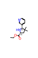 CCOC(=O)[C@@H]1CC(C)(C)[C@H](c2cccnc2)N1